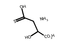 N.O=C(O)C(O)CC(O)=S